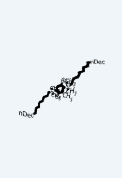 CCCCCCCCCCCCCCCCCC[Si](C)(C)c1cc(Br)c([Si](C)(C)CCCCCCCCCCCCCCCCCC)c(C)c1Br